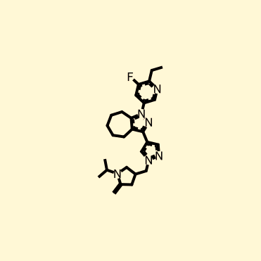 C=C1CC(Cn2cc(-c3nn(-c4cnc(CC)c(F)c4)c4c3CCCCC4)cn2)CN1C(C)C